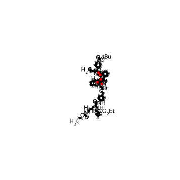 C=CCOC(=O)NCCCC[C@H](NC(=O)C1(C(=O)OCC)CCC1)C(=O)Nc1ccc(COC(=O)Nc2nnc(-c3ccccc3OC(=O)OCC=C)cc2N2CC3CC[C@H](C2)N3c2ccnc(OC3CC(OC4CCN(C(=O)OC(C)(C)C)CC4)C3)c2)cc1